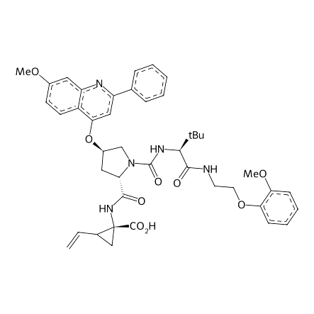 C=CC1C[C@]1(NC(=O)[C@@H]1C[C@@H](Oc2cc(-c3ccccc3)nc3cc(OC)ccc23)CN1C(=O)N[C@H](C(=O)NCCOc1ccccc1OC)C(C)(C)C)C(=O)O